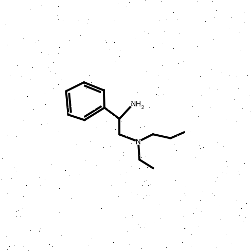 CCCN(CC)CC(N)c1ccccc1